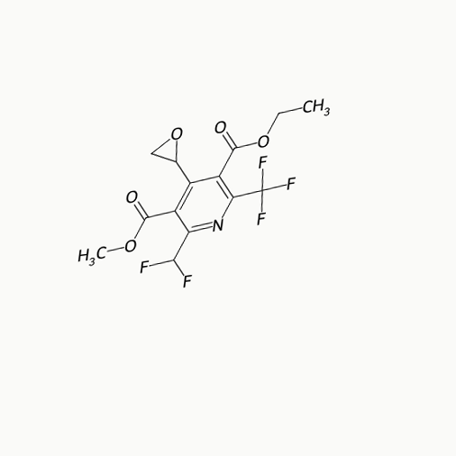 CCOC(=O)c1c(C(F)(F)F)nc(C(F)F)c(C(=O)OC)c1C1CO1